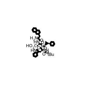 CC(C)(C)OC(=O)N[C@@H](Cc1c[nH]c2ccccc12)C(=O)N(C(=O)[C@H](CC(=O)O)NC(=O)[C@@H](N)Cc1ccc2ccccc2c1)C(=O)[C@@H]1C[C@H]1c1ccccc1